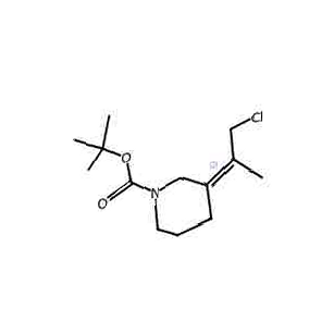 C/C(CCl)=C1\CCCN(C(=O)OC(C)(C)C)C1